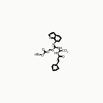 CCCCOC(=O)OCS/C(=N/c1cccc2cccnc12)NC(NC(=O)/C=C/c1ccccc1)C(Cl)(Cl)Cl